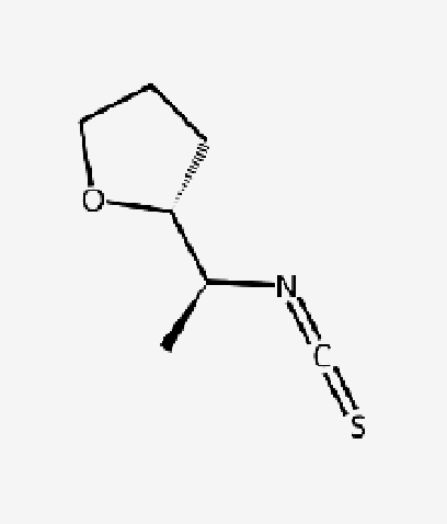 C[C@H](N=C=S)[C@H]1CCCO1